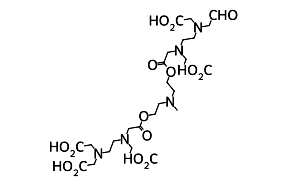 CN(CCOC(=O)CN(CCN(CC=O)CC(=O)O)CC(=O)O)CCOC(=O)CN(CCN(CC(=O)O)CC(=O)O)CC(=O)O